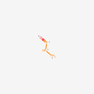 O=PPP